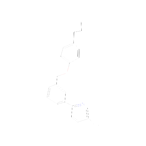 O=C(O)CCc1ccc(OCc2cccc(-c3ccc(C(F)(F)F)cn3)c2)cc1